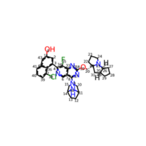 Oc1cc(-c2ncc3c(N4CC5CCC(C4)N5)nc(OC[C@]45CCCN4[C@H]4CCC[C@H]4C5)nc3c2F)c2c(Cl)cccc2c1